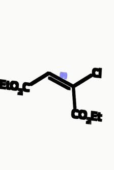 CCOC(=O)/C=C(/Cl)C(=O)OCC